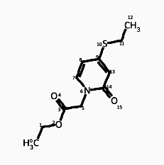 CCOC(=O)Cn1ccc(SCC)cc1=O